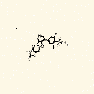 CS(=O)(=O)c1c(F)cc(-c2cncc3cc(/C=C4/SC(=S)NC4=O)oc23)cc1F